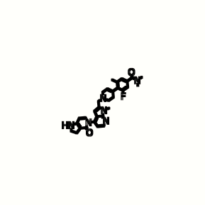 Cc1cc(C(=O)N(C)C)cc(F)c1C1=CCN(Cc2cc3c(-n4ccc5c(c4=O)CCN5)ccnc3n2C)CC1